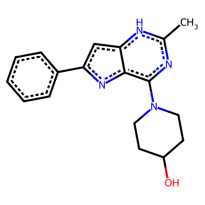 Cc1nc(N2CCC(O)CC2)c2nc(-c3ccccc3)cc-2[nH]1